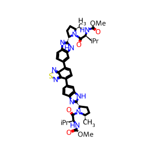 COC(=O)N[C@H](C(=O)N1[C@@H](C)CC[C@H]1c1nc2ccc(-c3ccc(-c4ccc5nc([C@@H]6CC[C@H](C)N6C(=O)[C@@H](NC(=O)OC)C(C)C)[nH]c5c4)c4nsnc34)cc2[nH]1)C(C)C